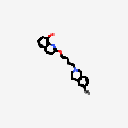 OC1=c2nc(OCCCCN3CCc4cc(C(F)(F)F)ccc4C3)ccc2=CCC1